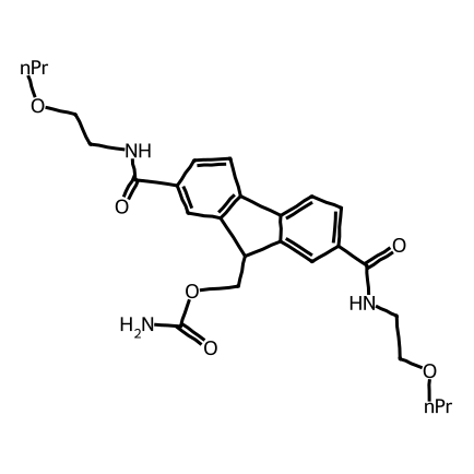 CCCOCCNC(=O)c1ccc2c(c1)C(COC(N)=O)c1cc(C(=O)NCCOCCC)ccc1-2